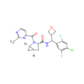 O=C(NC(c1cc(F)c(Cl)cc1F)C1COC1)[C@H]1C[C@H]2C[C@H]2N1C(=O)c1ccnc(C(F)(F)F)n1